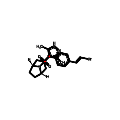 Cc1n[nH]c(C)c1S(=O)(=O)N1[C@@H]2CC[C@H]1CC(Oc1ccc(/C=C/C(C)C)cc1)C2